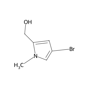 Cn1cc(Br)cc1CO